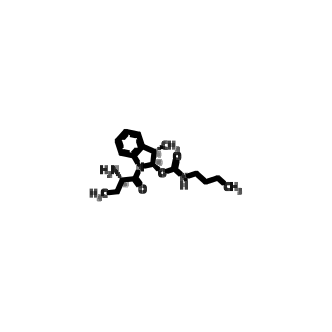 CCCCNC(=O)O[C@@H]1[C@@H](C)c2ccccc2N1C(=O)[C@@H](N)CC